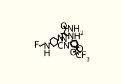 N#C[C@H]1CC(NCCF)CC[C@@H]1n1cc(C(N)=O)c(Nc2ccc(S(=O)(=O)C(F)(F)F)cc2)n1